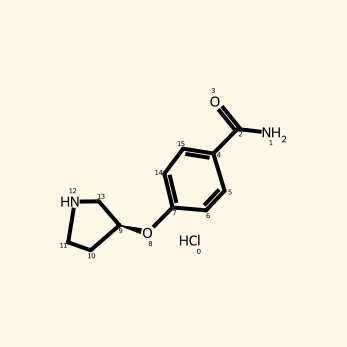 Cl.NC(=O)c1ccc(O[C@H]2CCNC2)cc1